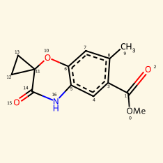 COC(=O)c1cc2c(cc1C)OC1(CC1)C(=O)N2